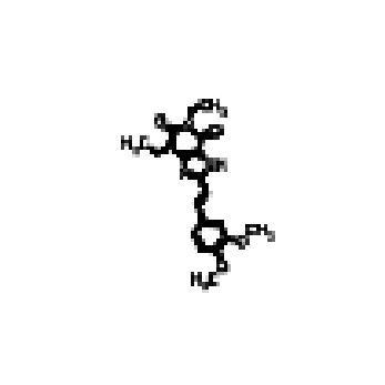 CCn1c(=O)c2[nH]c(C=Cc3ccc(OC)c(OC)c3)nc2n(CC)c1=O